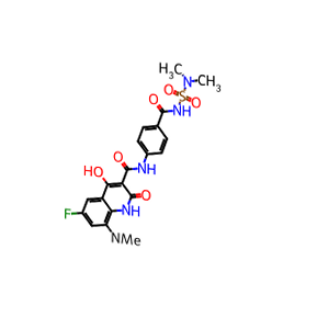 CNc1cc(F)cc2c(O)c(C(=O)Nc3ccc(C(=O)NS(=O)(=O)N(C)C)cc3)c(=O)[nH]c12